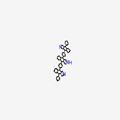 C1=c2c(-c3ccc(-c4c5ccccc5c(-c5ccccc5)c5ccncc45)cc3)c3ccccc3c(-c3ccc(-c4c5ccccc5c(-c5ccccc5)c5ccncc45)cc3)c2=CNC1